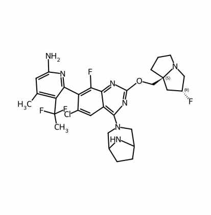 Cc1cc(N)nc(-c2c(Cl)cc3c(N4CC5CCC(C4)N5)nc(OC[C@@]45CCCN4C[C@H](F)C5)nc3c2F)c1C(C)(F)F